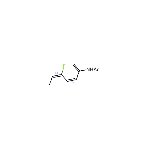 C=C(/C=C\C(F)=C/C)NC(C)=O